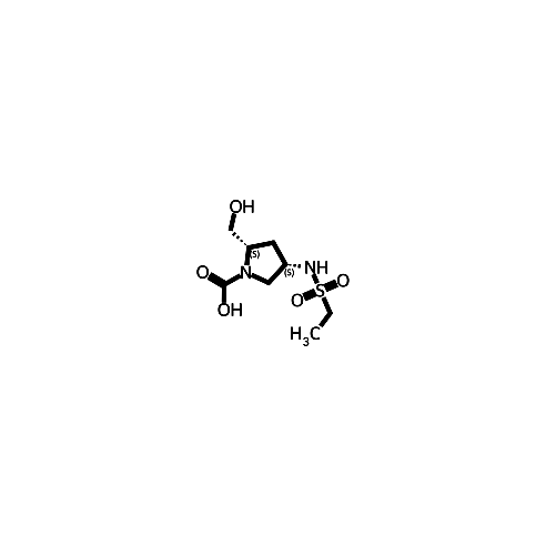 CCS(=O)(=O)N[C@H]1C[C@@H](CO)N(C(=O)O)C1